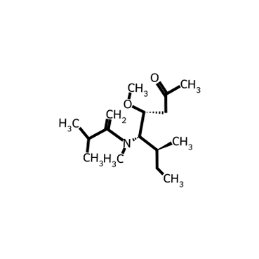 C=C(C(C)C)N(C)[C@@H]([C@@H](C)CC)[C@@H](CC(C)=O)OC